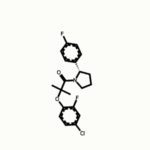 CC(C)(Oc1ccc(Cl)cc1F)C(=O)N1CCC[C@H]1c1ccc(F)cc1